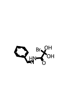 O=C(N/N=C\c1ccccc1)C(O)(O)Br